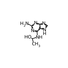 CC(O)Nc1nc(N)nc2nc[nH]c12